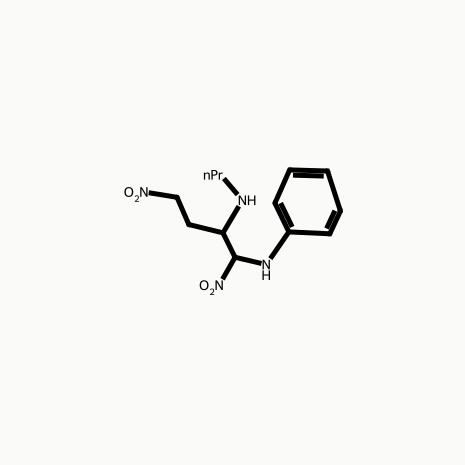 CCCNC(CC[N+](=O)[O-])C(Nc1ccccc1)[N+](=O)[O-]